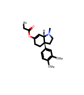 CCC(C)CC(=O)OC1=C[C@@H]2N(C)CC[C@]2(c2ccc(OC)c(OC)c2)CC1